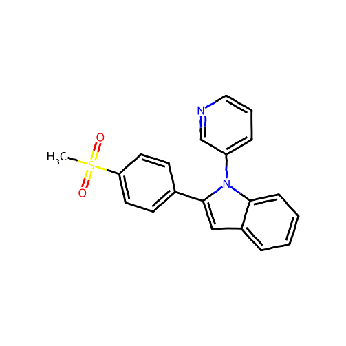 CS(=O)(=O)c1ccc(-c2cc3ccccc3n2-c2cccnc2)cc1